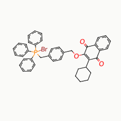 O=C1C(OCc2ccc(CP(Br)(c3ccccc3)(c3ccccc3)c3ccccc3)cc2)=C(C2CCCCC2)C(=O)c2ccccc21